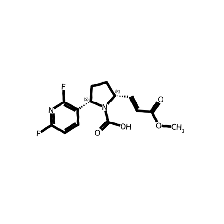 COC(=O)C=C[C@H]1CC[C@@H](c2ccc(F)nc2F)N1C(=O)O